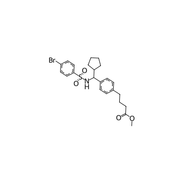 COC(=O)CCCc1ccc(C(NS(=O)(=O)c2ccc(Br)cc2)C2CCCC2)cc1